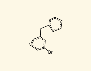 Brc1cncc(Cc2ccccc2)c1